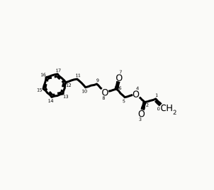 C=CC(=O)OCC(=O)OCCCc1ccccc1